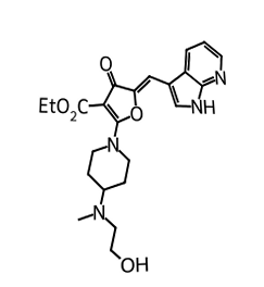 CCOC(=O)C1=C(N2CCC(N(C)CCO)CC2)OC(=Cc2c[nH]c3ncccc23)C1=O